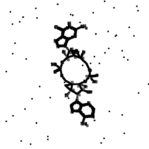 Nc1nc2c(nnn2[C@@H]2O[C@@H]3CO[P@@](=O)(S)O[C@H]4[C@@H](O)[C@H](n5cnc6c(N)ncnc65)[C@H]5C[C@]54COP(=O)(O)O[C@@H]2[C@@H]3O)c(=O)[nH]1